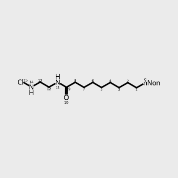 CCCCCCCCCCCCCCCCCC(=O)NCCNCl